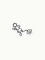 CC1(C)OC[C@H](CCN2CC3Oc4ccccc4NC3=NC2=O)O1